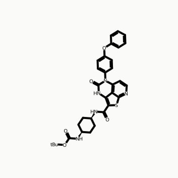 CC(C)(C)OC(=O)N[C@H]1CC[C@@H](NC(=O)c2sc3nccc4c3c2NC(=O)N4c2ccc(Oc3ccccc3)cc2)CC1